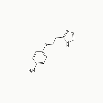 Nc1ccc(OCCc2ncc[nH]2)cc1